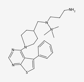 C[N+](C)(C)N(CCCN)CC1CCN(c2ncnc3scc(-c4ccccc4)c23)CC1